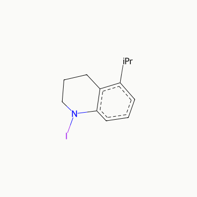 CC(C)c1cccc2c1CCCN2I